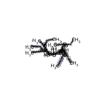 CCCCCC/C=C\CCCC(=O)O[C@H](CCCCCCC)CCOCC(COP(=O)(O)OCCNC(=O)NCCOP(=O)(O)OCC(COCC[C@@H](CCCCCCC)OC(=O)CCC/C=C\CCCCCC)NC(=O)CC(CCCCCCCCCCC)OC(=O)CCC/C=C/CCCCCC)NC(=O)CC(CCCCCCCCCCC)OC(=O)CCC/C=C/CCCCCC